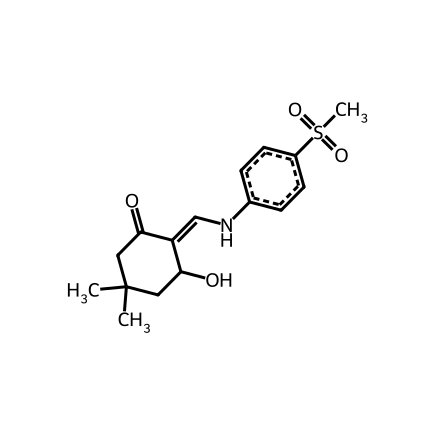 CC1(C)CC(=O)/C(=C/Nc2ccc(S(C)(=O)=O)cc2)C(O)C1